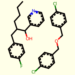 CCCCC(Cc1ccc(F)cc1)C(O)c1cccnc1.Clc1ccc(COCc2ccc(Cl)cc2)cc1